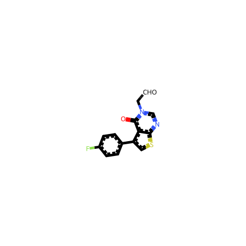 O=CCn1cnc2scc(-c3ccc(F)cc3)c2c1=O